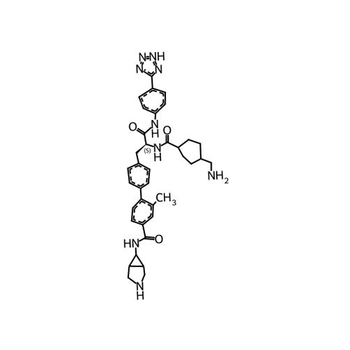 Cc1cc(C(=O)NC2C3CNCC32)ccc1-c1ccc(C[C@H](NC(=O)C2CCC(CN)CC2)C(=O)Nc2ccc(-c3nn[nH]n3)cc2)cc1